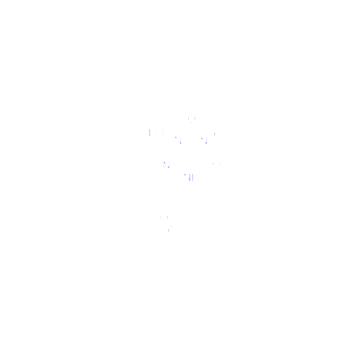 COc1ccccc1C=Cc1nc2c([nH]1)c(=O)n(C)c(=O)n2C